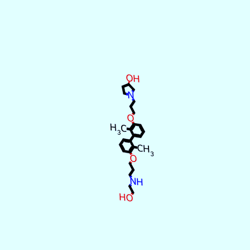 Cc1c(OCCCNCCO)cccc1-c1cccc(OCCCN2CC[C@@H](O)C2)c1C